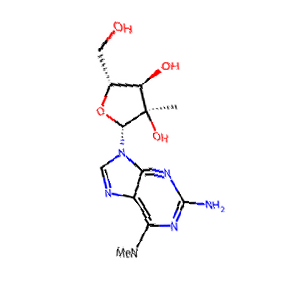 CNc1nc(N)nc2c1ncn2[C@@H]1O[C@H](CO)[C@@H](O)[C@@]1(C)O